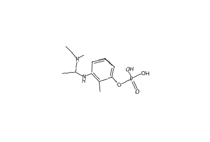 Cc1c(NC(C)N(C)C)cccc1OP(=O)(O)O